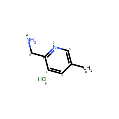 Cc1ccc(CN)nc1.Cl